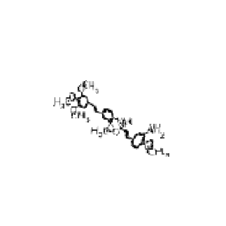 COc1ccc(/C=C/C(=O)Nc2ccc(C=Cc3cc(OC)c(OC)c(OC)c3)cc2OC)cc1N